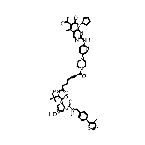 CC(=O)c1c(C)c2cnc(Nc3ccc(N4CCN(C(=O)C#CCCCC(=O)N[C@H](C(=O)N5C[C@H](O)C[C@H]5C(=O)NCc5ccc(-c6scnc6C)cc5)C(C)(C)C)CC4)cn3)nc2n(C2CCCC2)c1=O